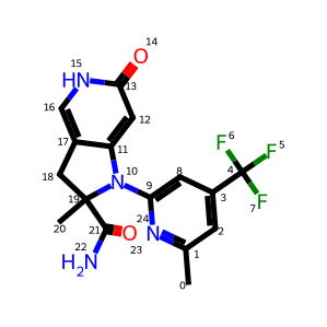 Cc1cc(C(F)(F)F)cc(N2c3cc(=O)[nH]cc3CC2(C)C(N)=O)n1